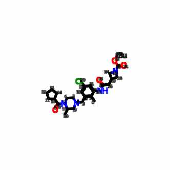 Cc1c(CN2CCN(C(=O)C3CCCC3)C(C)C2)cc(Cl)cc1NC(=O)CC1CN(C(=O)OC(C)(C)C)C1